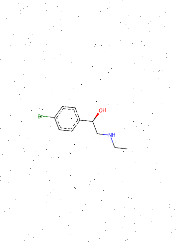 CCNC[C@H](O)c1ccc(Br)cc1